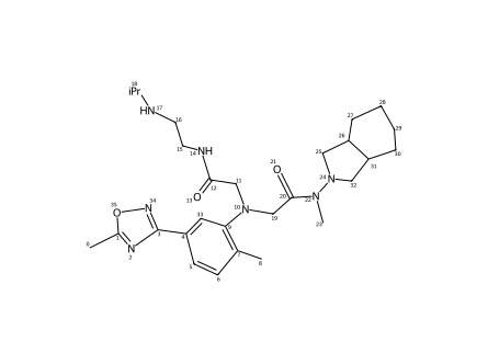 Cc1nc(-c2ccc(C)c(N(CC(=O)NCCNC(C)C)CC(=O)N(C)N3CC4CCCCC4C3)c2)no1